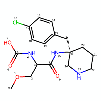 COCC(NC(=O)O)C(=O)N[C@@]1(Cc2ccc(Cl)cc2)CCCNC1